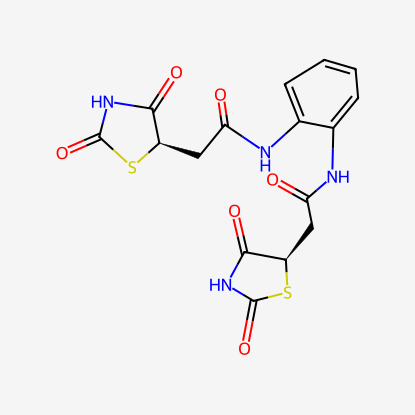 O=C(C[C@H]1SC(=O)NC1=O)Nc1ccccc1NC(=O)C[C@H]1SC(=O)NC1=O